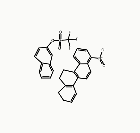 O=S(=O)(Oc1ccc2ccccc2c1)C(F)(F)F.O=[N+]([O-])c1cccc2c3c(ccc12)C1=C(CCC=C1)CC3